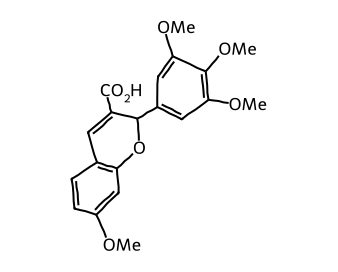 COc1ccc2c(c1)OC(c1cc(OC)c(OC)c(OC)c1)C(C(=O)O)=C2